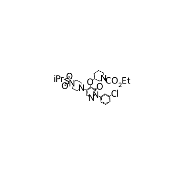 CCOC(=O)N1CCCC(Oc2c(N3CCN(S(=O)(=O)C(C)C)CC3)cnn(-c3cccc(Cl)c3)c2=O)C1